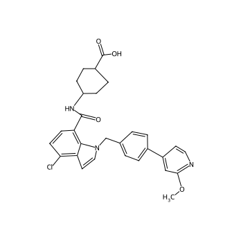 COc1cc(-c2ccc(Cn3ccc4c(Cl)ccc(C(=O)NC5CCC(C(=O)O)CC5)c43)cc2)ccn1